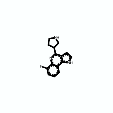 Fc1cccc2c1nc(C1CCNC1)c1cc[nH]c12